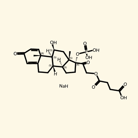 C[C@]12C=CC(=O)C=C1CC[C@@H]1[C@@H]2[C@@H](O)C[C@@]2(C)[C@H]1CC[C@]2(OP(=O)(O)O)C(=O)COC(=O)CCC(=O)O.[NaH]